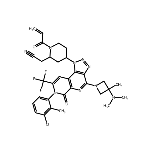 C=CC(=O)N1CCC(n2nnc3c(N4CC(C)(N(C)C)C4)nc4c(=O)n(-c5cccc(Cl)c5C)c(C(F)(F)F)cc4c32)CC1CC#N